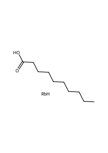 CCCCCCCCCC(=O)O.[RbH]